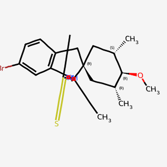 CO[C@H]1[C@H](C)C[C@@]2(Cc3ccc(Br)cc3C23N=C(C)C(=S)N3)C[C@@H]1C